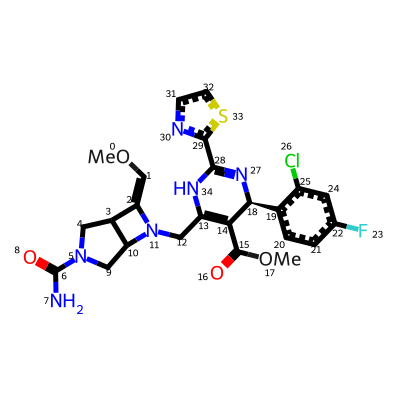 CO/C=C1\C2CN(C(N)=O)CC2N1CC1=C(C(=O)OC)[C@H](c2ccc(F)cc2Cl)N=C(c2nccs2)N1